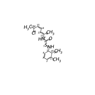 CC1=CC=CC(NSC(=O)N/C(C)=C/C=C\C(C)Cl)C1C